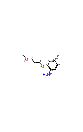 COCCCOc1cc(Br)ccc1N